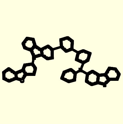 c1ccc(N(c2cccc(-c3cccc(-c4ccc5c(c4)c4ccccc4n5-c4ccc5oc6ccccc6c5c4)c3)c2)c2ccc3sc4ccccc4c3c2)cc1